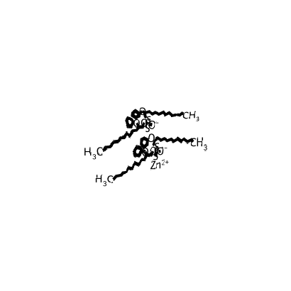 CCCCCCCCCCCCC(COP([O-])(=S)SCC(CCCCCCCCCCCC)Oc1ccccc1)Oc1ccccc1.CCCCCCCCCCCCC(COP([O-])(=S)SCC(CCCCCCCCCCCC)Oc1ccccc1)Oc1ccccc1.[Zn+2]